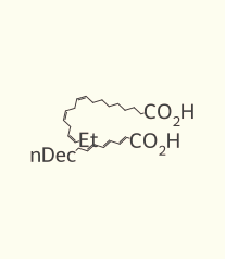 CC/C=C\C/C=C\C/C=C\CCCCCCCC(=O)O.CCCCCCCCCCCC=CC=CC=CC(=O)O